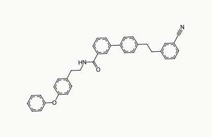 N#Cc1cccc(C[CH]c2ccc(-c3cccc(C(=O)NCCc4ccc(Oc5ccccc5)cc4)c3)cc2)c1